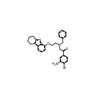 Nc1cc(C(=O)CN(CCOc2cccc3c4c(sc23)CCCC4)Cc2ccccc2)ccc1Br